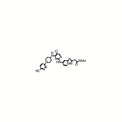 CNC(=O)Cc1nc2cc(Nc3ncc(Cl)c(NC4CCN(c5ccc(C#N)nn5)CC4)n3)ccn2n1